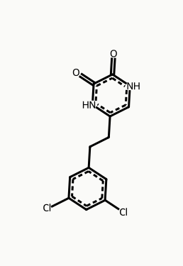 O=c1[nH]cc(CCc2cc(Cl)cc(Cl)c2)[nH]c1=O